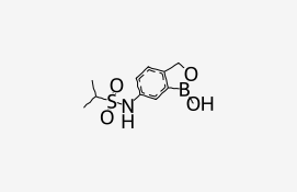 CC(C)S(=O)(=O)Nc1ccc2c(c1)B(O)OC2